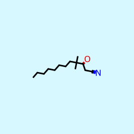 CCCCCCCCC(C)(C)C(=O)CC#N